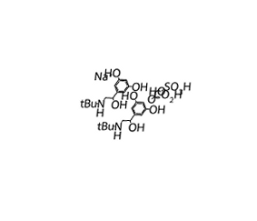 CC(C)(C)NCC(O)c1cc(O)cc(O)c1.CC(C)(C)NCC(O)c1cc(O)cc(O)c1.O=C([O-])O.O=S(=O)(O)O.[Na+]